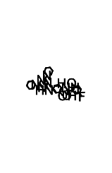 O=C(Nc1ccc(Nc2nc(N3CCCCC3)nc(N3CCCCC3)n2)cc1O)c1cc(F)ccc1O